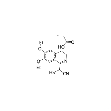 CCC(=O)O.CCOc1cc2c(cc1OCC)C(C(S)C#N)=NCC2